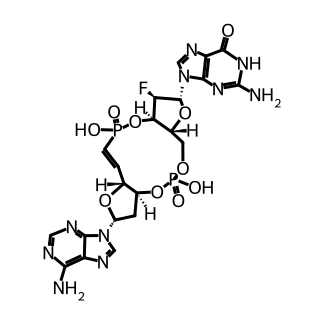 Nc1nc2c(ncn2[C@@H]2O[C@@H]3COP(=O)(O)O[C@H]4C[C@H](n5cnc6c(N)ncnc65)O[C@@H]4/C=C/P(=O)(O)O[C@H]3[C@H]2F)c(=O)[nH]1